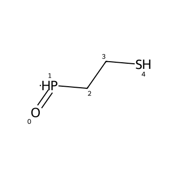 O=[PH]CCS